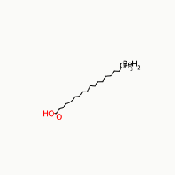 CCCCCCCCCCCCCCCCCC(=O)O.[BeH2]